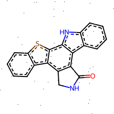 O=C1NCc2c1c1c3ccccc3[nH]c1c1sc3ccccc3c21